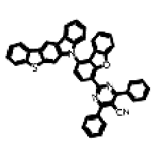 N#Cc1c(-c2ccccc2)nc(-c2ccc(-n3c4ccccc4c4cc5c(cc43)sc3ccccc35)c3c2oc2ccccc23)nc1-c1ccccc1